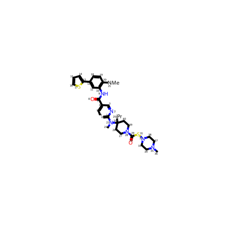 C=C(/N=C\C(=C/C)C(=O)Nc1cc(-c2cccs2)ccc1NC)N(C)C1(C(C)C)CCN(C(=O)SN2CCN(C)CC2)CC1